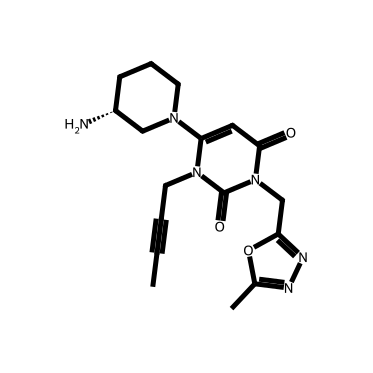 CC#CCn1c(N2CCC[C@@H](N)C2)cc(=O)n(Cc2nnc(C)o2)c1=O